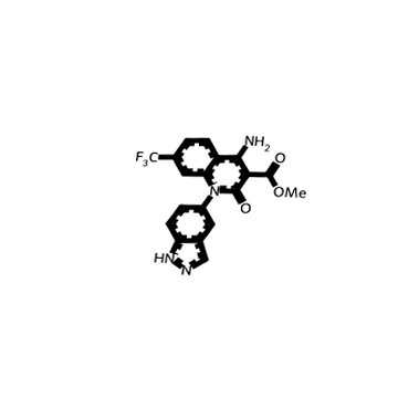 COC(=O)c1c(N)c2ccc(C(F)(F)F)cc2n(-c2ccc3[nH]ncc3c2)c1=O